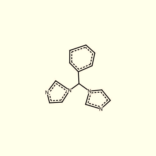 c1ccc(C(n2ccnc2)n2ccnc2)cc1